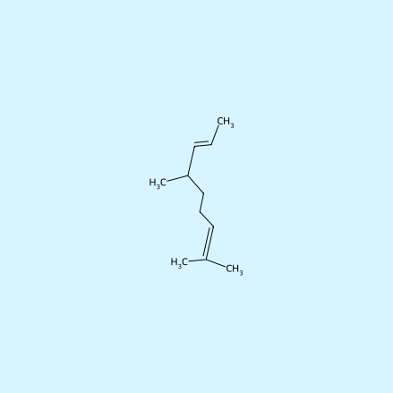 CC=CC(C)CCC=C(C)C